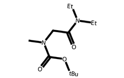 CCN(CC)C(=O)CN(C)C(=O)OC(C)(C)C